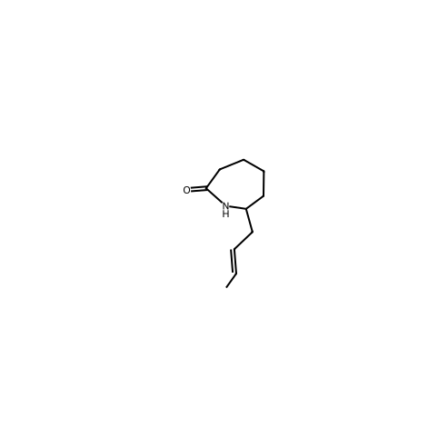 CC=CCC1CCCCC(=O)N1